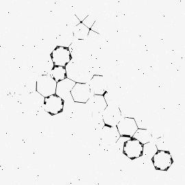 CCn1c(-c2cccnc2[C@H](C)OC)c([C@]2(C(=O)O)CCCN(C(=O)[C@H](CN3CC(Br)=CC(O[Si](c4ccccc4)(c4ccccc4)C(C)(C)C)C3)NC(=O)OC(C)(C)C)N2CC(C)(C)C)c2cc(B3OC(C)(C)C(C)(C)O3)ccc21